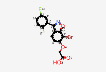 O=C(O)COc1ccc2c(-c3cc(F)ccc3F)noc2c1Br